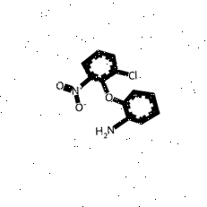 Nc1ccccc1Oc1c(Cl)cccc1[N+](=O)[O-]